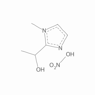 CC(O)c1nccn1C.O=[N+]([O-])O